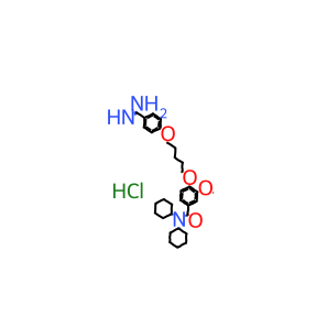 COc1cc(C(=O)N(C2CCCCC2)C2CCCCC2)ccc1OCCCCCOc1ccc(C(=N)N)cc1.Cl